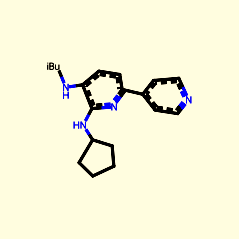 CCC(C)Nc1ccc(-c2ccncc2)nc1NC1CCCC1